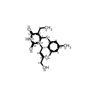 CCc1c(Sc2cc(C)cc(C)c2)n(CC=CCO)c(=O)[nH]c1=O